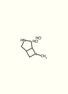 CN1CC2CNCC21.Cl.Cl